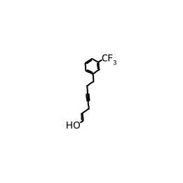 OC=CCC#CCCc1cccc(C(F)(F)F)c1